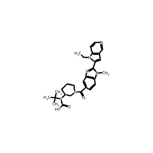 CCn1c(-c2nc3cc(C(=O)N4CCCC(N(C(=O)O)C(C)(C)C)C4)ccc3n2C)cc2cnccc21